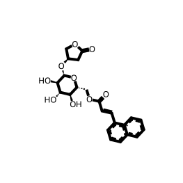 O=C(/C=C/c1cccc2ccccc12)OC[C@H]1O[C@@H](O[C@H]2COC(=O)C2)[C@H](O)[C@@H](O)[C@@H]1O